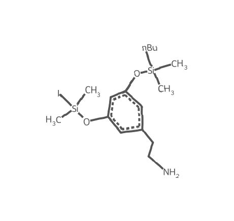 CCCC[Si](C)(C)Oc1cc(CCN)cc(O[Si](C)(C)I)c1